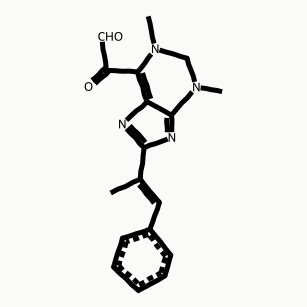 CC(=Cc1ccccc1)C1=NC2=C(C(=O)C=O)N(C)CN(C)C2=N1